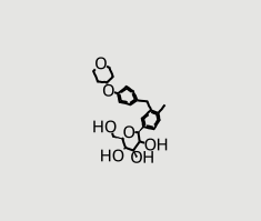 Cc1ccc([C@@H]2O[C@H](CO)[C@@H](O)[C@H](O)C2O)cc1Cc1ccc(OC2CCOCC2)cc1